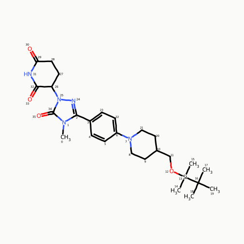 Cn1c(-c2ccc(N3CCC(CO[Si](C)(C)C(C)(C)C)CC3)cc2)nn(C2CCC(=O)NC2=O)c1=O